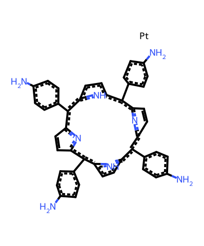 Nc1ccc(-c2c3nc(c(-c4ccc(N)cc4)c4ccc([nH]4)c(-c4ccc(N)cc4)c4nc(c(-c5ccc(N)cc5)c5ccc2[nH]5)C=C4)C=C3)cc1.[Pt]